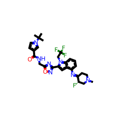 CN1CC/C(=N\c2cccc3c2cc(-c2noc(CNC(=O)c4ccn(C(C)(C)C)c4)n2)n3CC(F)(F)F)[C@@H](F)C1